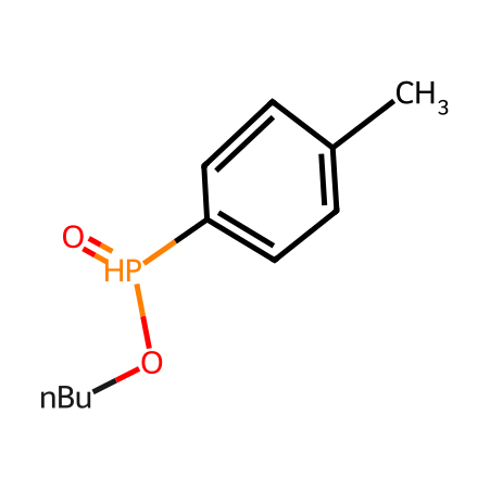 CCCCO[PH](=O)c1ccc(C)cc1